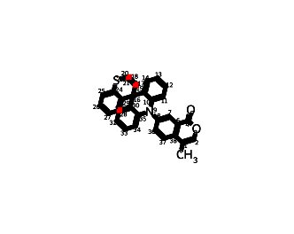 Cc1coc(=O)c2cc(N3c4ccccc4C4(c5ccccc5Sc5ccccc54)c4ccccc43)ccc12